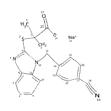 CC(C)(Sc1nc2ccccc2n1Cc1ccc(C#N)cc1)C(=O)[O-].[Na+]